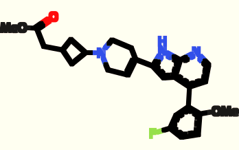 COC(=O)CC1CC(N2CC=C(c3cc4c(-c5cc(F)ccc5OC)ccnc4[nH]3)CC2)C1